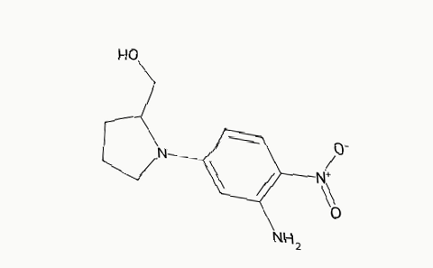 Nc1cc(N2CCCC2CO)ccc1[N+](=O)[O-]